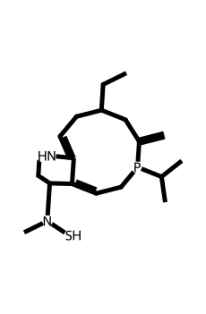 C=C1CC(CC)C/C=C2\NCCC(N(C)S)\C2=C\CP1C(C)C